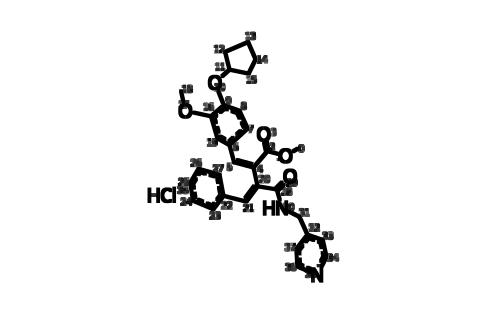 COC(=O)C(=C\c1ccc(OC2CCCC2)c(OC)c1)/C(=C\c1ccccc1)C(=O)NCc1ccncc1.Cl